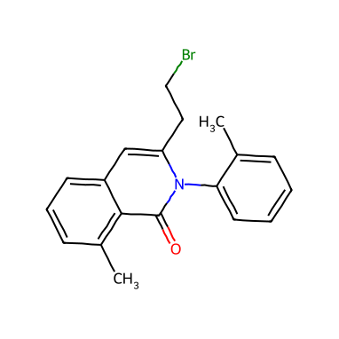 Cc1ccccc1-n1c(CCBr)cc2cccc(C)c2c1=O